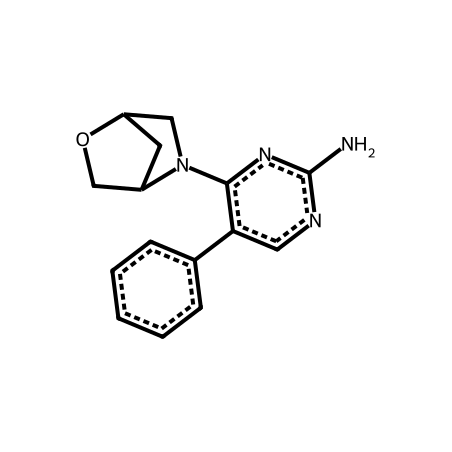 Nc1ncc(-c2ccccc2)c(N2CC3CC2CO3)n1